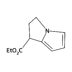 CCOC(=O)C1CCn2cccc21